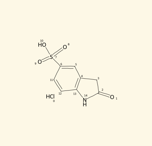 Cl.O=C1Cc2cc(S(=O)(=O)O)ccc2N1